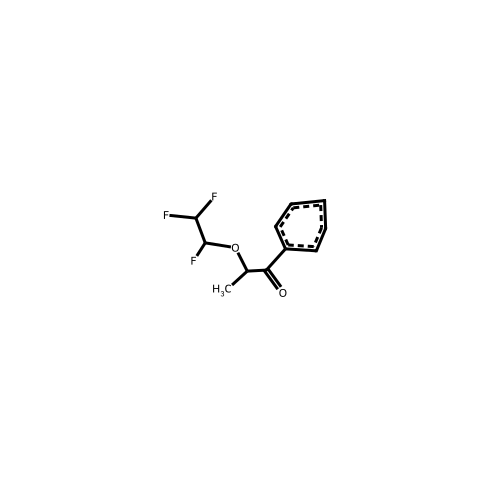 CC(OC(F)C(F)F)C(=O)c1ccccc1